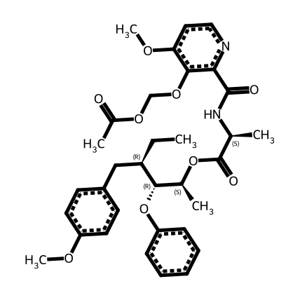 CC[C@H](Cc1ccc(OC)cc1)[C@@H](Oc1ccccc1)[C@H](C)OC(=O)[C@H](C)NC(=O)c1nccc(OC)c1OCOC(C)=O